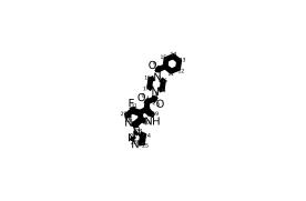 O=C(C(=O)N1CCN(C(=O)C2CCCCC2)CC1)c1c[nH]c2c(-n3ccnn3)ncc(F)c12